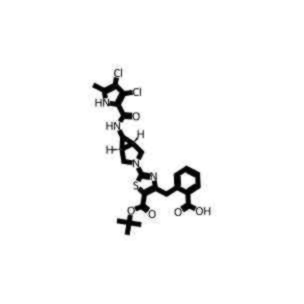 Cc1[nH]c(C(=O)NC2[C@H]3CN(c4nc(Cc5ccccc5C(=O)O)c(C(=O)OC(C)(C)C)s4)C[C@@H]23)c(Cl)c1Cl